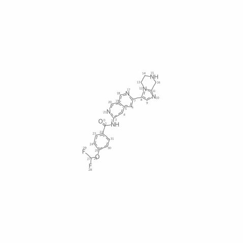 O=C(Nc1cc2cc(-c3cnc4n3CCNC4)ncc2cn1)c1ccc(OC(F)F)cc1